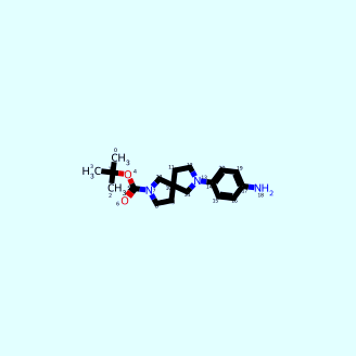 CC(C)(C)OC(=O)N1CCC2(CCN(c3ccc(N)cc3)C2)C1